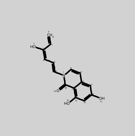 C=C/C(O)=C\C=C\n1ccc2cc(O)cc(O)c2c1=O